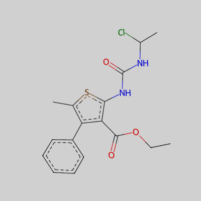 CCOC(=O)c1c(NC(=O)NC(C)Cl)sc(C)c1-c1ccccc1